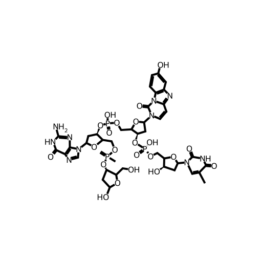 C=P(C)(OCC1OC(n2cnc3c(=O)[nH]c(N)nc32)C[C@H]1OP(=O)(O)OCC1OC(n2ccc3nc4cc(O)ccc4n3c2=O)C[C@H]1OP(=O)(O)OCC1OC(n2cc(C)c(=O)[nH]c2=O)C[C@H]1O)O[C@@H]1CC(O)OC1CO